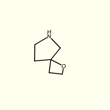 C1CC2(CCO2)CN1